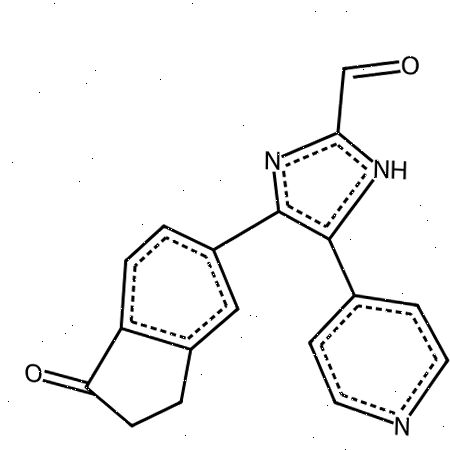 O=Cc1nc(-c2ccc3c(c2)CCC3=O)c(-c2ccncc2)[nH]1